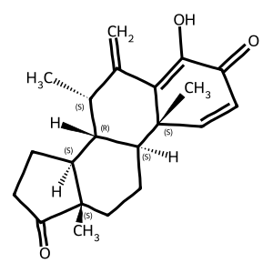 C=C1C2=C(O)C(=O)C=C[C@]2(C)[C@H]2CC[C@]3(C)C(=O)CC[C@H]3[C@@H]2[C@@H]1C